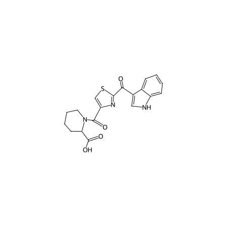 O=C(c1nc(C(=O)N2CCCCC2C(=O)O)cs1)c1c[nH]c2ccccc12